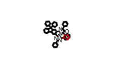 c1ccc(-c2nc(-c3ccccc3)nc(-c3cc4c(cc3-c3nc(-c5ccccc5)c5oc6ccccc6c5n3)C(c3ccccc3)(c3ccccc3)c3ccccc3-4)n2)cc1